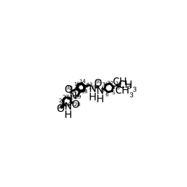 CC(C)(C)[C@H]1CC[C@@H](NC(=O)NCc2ccc3c(c2)CN(C2CCC(=O)NC2=O)C3=O)CC1